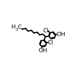 CCCCCCCCCC(c1ccc(O)cc1Cl)c1ccc(O)cc1Cl